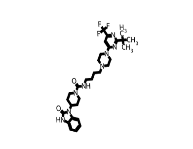 CC(C)(C)c1nc(N2CCN(CCCCNC(=O)N3CCC(n4c(=O)[nH]c5ccccc54)CC3)CC2)cc(C(F)(F)F)n1